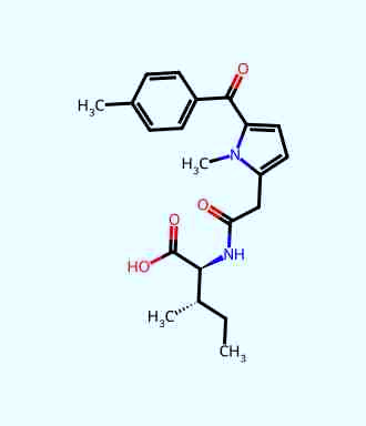 CC[C@H](C)[C@H](NC(=O)Cc1ccc(C(=O)c2ccc(C)cc2)n1C)C(=O)O